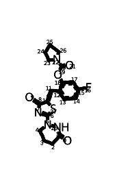 O=C1CCCN(C2=NC(=O)/C(=C/c3ccc(F)cc3OC(=O)N3CCCC3)S2)N1